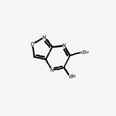 CC(C)(C)c1nc2conc2nc1C(C)(C)C